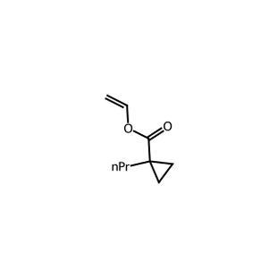 C=COC(=O)C1(CCC)CC1